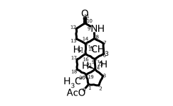 CC(=O)OC1CC[C@H]2[C@@H]3CCC4NC(=O)CC[C@]4(C)[C@@H]3CC[C@]12C